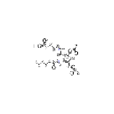 CCCCCC(=O)/C=C/[C@H]1[C@H](COC(C)=O)CC(OC(C)=O)[C@@H]1C/C=C\CCCC(=O)O